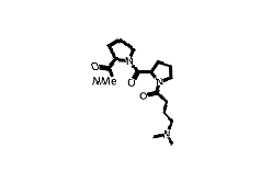 CNC(=O)C1CCCN1C(=O)C1CCCN1C(=O)CCCN(C)C